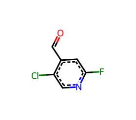 O=Cc1cc(F)ncc1Cl